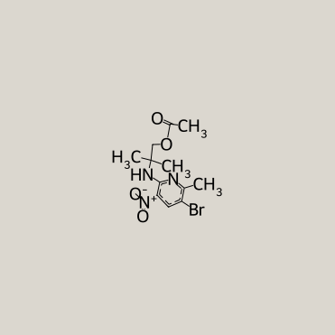 CC(=O)OCC(C)(C)Nc1nc(C)c(Br)cc1[N+](=O)[O-]